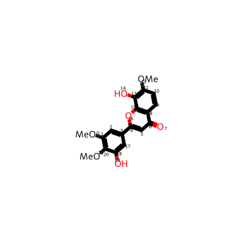 COc1cc(-c2cc(=O)c3ccc(OC)c(O)c3o2)cc(O)c1OC